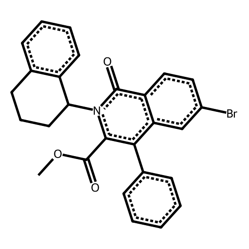 COC(=O)c1c(-c2ccccc2)c2cc(Br)ccc2c(=O)n1C1CCCc2ccccc21